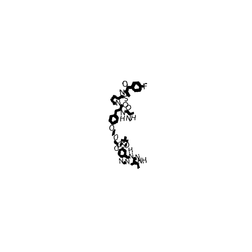 CNC(C)C(=O)NC(Cc1ccc(OCCOCCOc2cc3ncnc(Nc4n[nH]c(C)c4C)c3cc2S(=O)(=O)C(C)(C)C)cc1)C(=O)N1CCCC1c1nc(C(=O)c2ccc(F)cc2)cs1